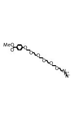 COC(=O)c1ccc(OCCOCCOCCOCCOCCOCCN=[N+]=[N-])cc1